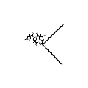 CCCCCCCCCCCCOCC(CC)(COCCCCCCCCCCCC)COC(=O)C(C)(COC(=O)C(C)(CO)CO)COC(=O)C(C)(CO)COC